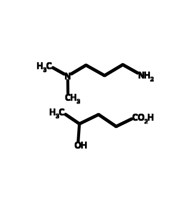 CC(O)CCC(=O)O.CN(C)CCCN